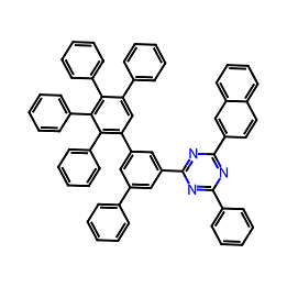 c1ccc(-c2cc(-c3nc(-c4ccccc4)nc(-c4ccc5ccccc5c4)n3)cc(-c3cc(-c4ccccc4)c(-c4ccccc4)c(-c4ccccc4)c3-c3ccccc3)c2)cc1